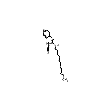 CCCCCCCCCCCNC(=Nc1ccncc1)NC#N